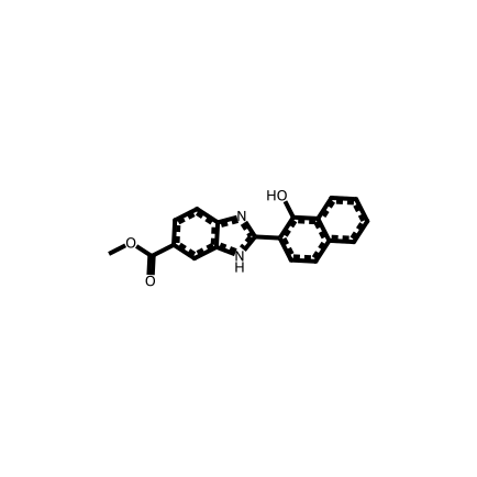 COC(=O)c1ccc2nc(-c3ccc4ccccc4c3O)[nH]c2c1